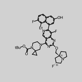 CCc1c(F)ccc2cc(O)cc(-c3ncc4c(N5CCN(C(=O)OC(C)(C)C)C6(CC6)C5)nc(OC[C@@]56CCCN5C[C@H](F)C6)nc4c3F)c12